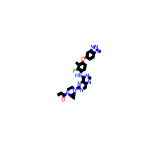 C=CC(=O)N1CCN(c2ncc3ncnc(Nc4ccc(Oc5ccc6c(c5)nnn6C)c(C)c4F)c3n2)C2CC21